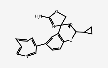 NC1=NC2(CO1)c1cc(C3=C/C=C/C=C/N=C\3)ccc1OC(C1CC1)C21COC1